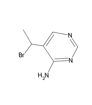 CC(Br)c1cncnc1N